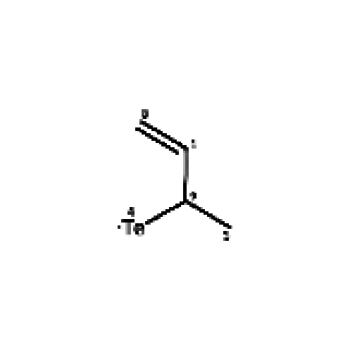 C=CC(C)[Te]